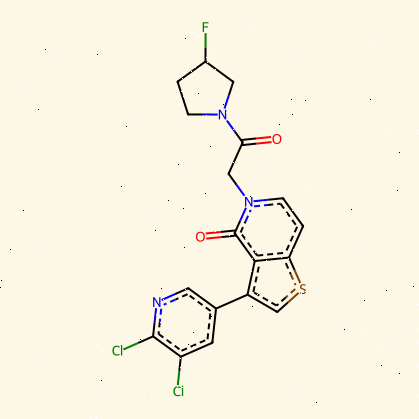 O=C(Cn1ccc2scc(-c3cnc(Cl)c(Cl)c3)c2c1=O)N1CCC(F)C1